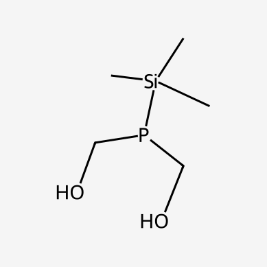 C[Si](C)(C)P(CO)CO